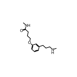 CNCCCc1cccc(OCCCC(=O)NC)c1